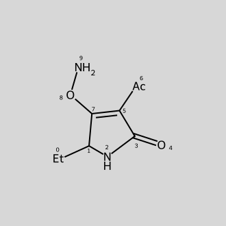 CCC1NC(=O)C(C(C)=O)=C1ON